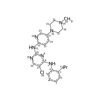 CC(C)c1ccccc1Nc1nc(Nc2ccc(N3CCN(C)CC3)cn2)ncc1Cl